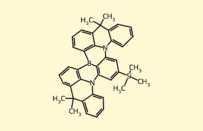 CC1(C)c2ccccc2N2c3cc([Si](C)(C)C)cc4c3B(c3cccc1c32)c1cccc2c1N4c1ccccc1C2(C)C